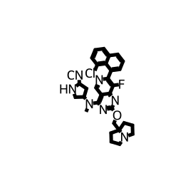 CN(c1nc(OCC23CCCN2CCC3)nc2c(F)c(-c3cccc4cccc(Cl)c34)ncc12)C1CNC(C#N)C1